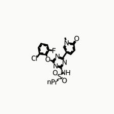 CCCS(=O)(=O)Nc1nc(Oc2c(F)cccc2Cl)nc(-c2ccc(=O)n(C)c2)n1